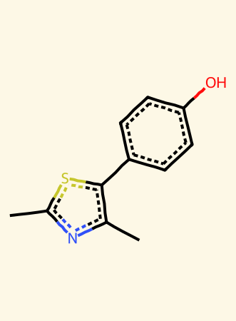 Cc1nc(C)c(-c2ccc(O)cc2)s1